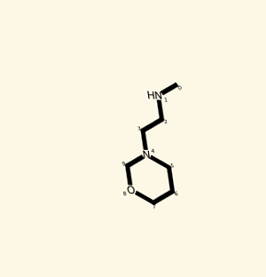 CNCCN1CCCOC1